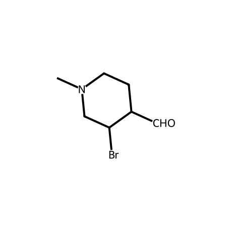 CN1CCC(C=O)C(Br)C1